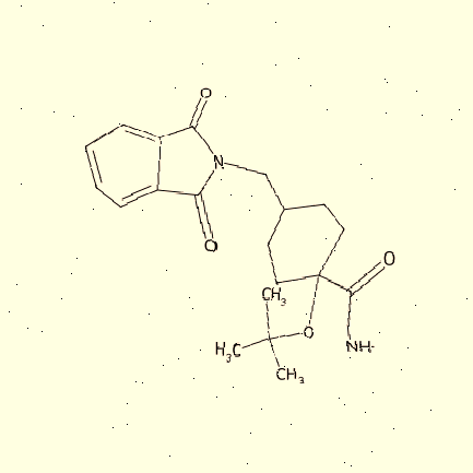 CC(C)(C)OC1(C([NH])=O)CCC(CN2C(=O)c3ccccc3C2=O)CC1